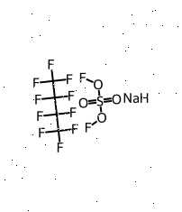 FC(F)(F)C(F)(F)C(F)(F)C(F)(F)F.O=S(=O)(OF)OF.[NaH]